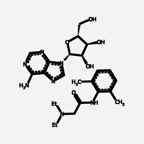 CCN(CC)CC(=O)Nc1c(C)cccc1C.Nc1ncnc2c1ncn2[C@@H]1O[C@H](CO)[C@@H](O)[C@H]1O